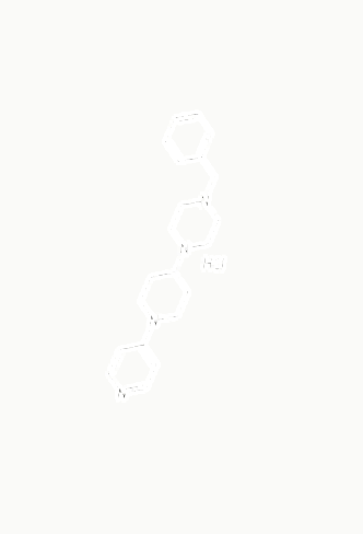 Cl.c1ccc(CN2CCN(C3CCN(c4ccncc4)CC3)CC2)cc1